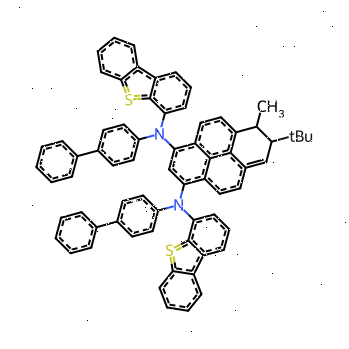 CC1c2ccc3c(N(c4ccc(-c5ccccc5)cc4)c4cccc5c4sc4ccccc45)cc(N(c4ccc(-c5ccccc5)cc4)c4cccc5c4sc4ccccc45)c4ccc(c2c34)=CC1C(C)(C)C